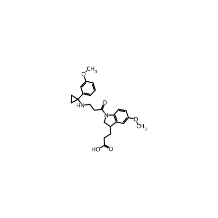 COc1cccc(C2(NCCC(=O)N3CC(CCC(=O)O)c4cc(OC)ccc43)CC2)c1